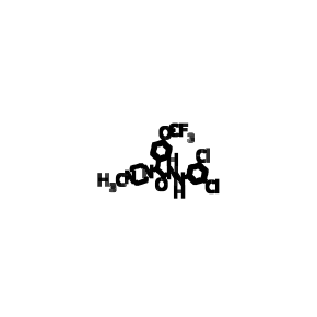 CN1CCN(C(C(=O)NNc2cc(Cl)cc(Cl)c2)c2ccc(OC(F)(F)F)cc2)CC1